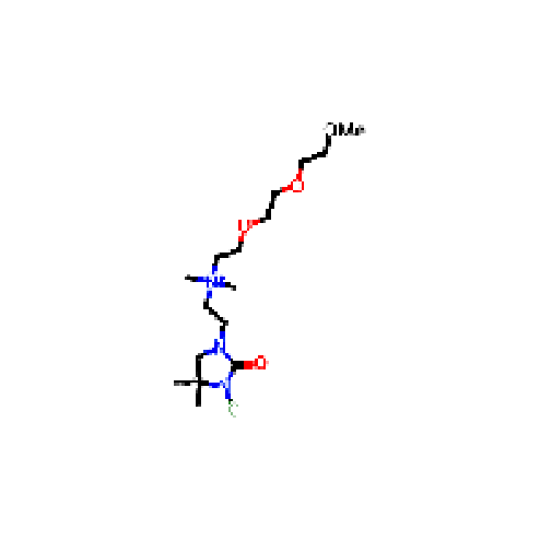 COCCOCCOCC[N+](C)(C)CCN1CC(C)(C)N(Cl)C1=O